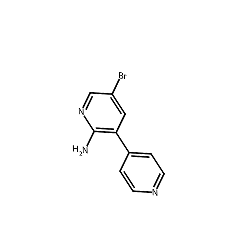 Nc1ncc(Br)cc1-c1ccncc1